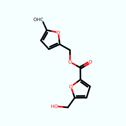 O=Cc1ccc(COC(=O)c2ccc(CO)o2)o1